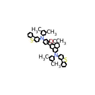 Cc1cc(C)cc(N(c2cc3c4c(c5oc6cc(N(c7cc(C)cc(C)c7)c7ccc8sc9ccccc9c8c7)ccc6c5cc4c2)C(C)(C)CC3)c2ccc3sc4ccccc4c3c2)c1